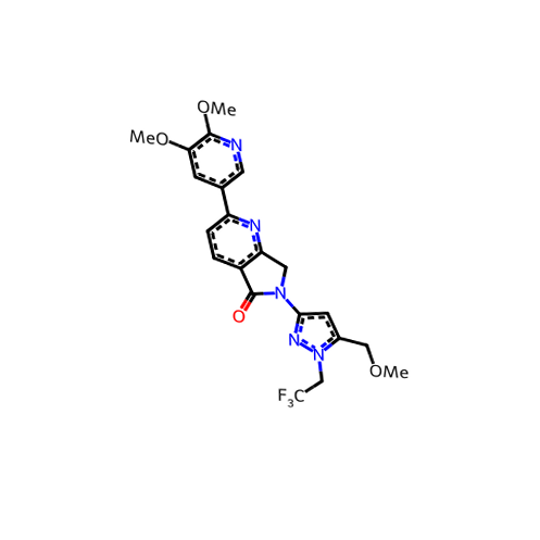 COCc1cc(N2Cc3nc(-c4cnc(OC)c(OC)c4)ccc3C2=O)nn1CC(F)(F)F